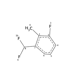 Cc1c(F)cccc1C(F)F